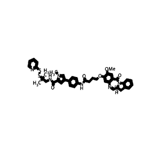 COc1cc2c(cc1OCCCC(=O)Nc1ccc(-c3cc(C(=O)NCC(C)(C)SSc4ccccn4)n(C)c3)cc1)N=C[C@@H]1Cc3ccccc3N1C2=O